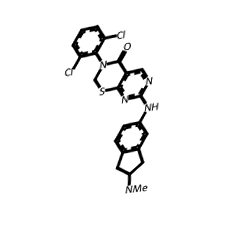 CNC1Cc2ccc(Nc3ncc4c(n3)SCN(c3c(Cl)cccc3Cl)C4=O)cc2C1